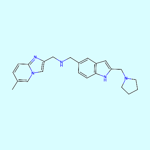 Cc1ccc2nc(CNCc3ccc4[nH]c(CN5CCCC5)cc4c3)cn2c1